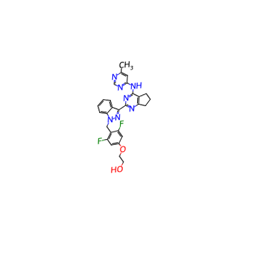 Cc1cc(Nc2nc(-c3nn(Cc4c(F)cc(OCCO)cc4F)c4ccccc34)nc3c2CCC3)ncn1